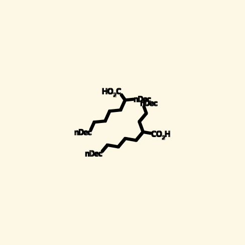 CCCCCCCCCCCCCCC(CCCCCCCCCC)C(=O)O.CCCCCCCCCCCCCCC(CCCCCCCCCCCC)C(=O)O